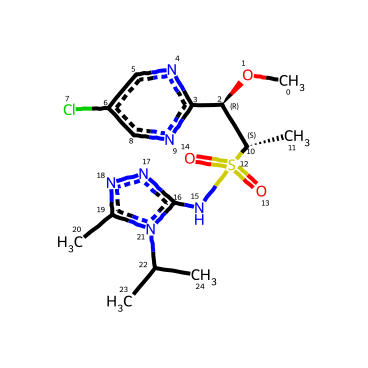 CO[C@H](c1ncc(Cl)cn1)[C@H](C)S(=O)(=O)Nc1nnc(C)n1C(C)C